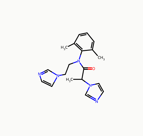 Cc1cccc(C)c1N(CCn1ccnc1)C(=O)C(C)n1ccnc1